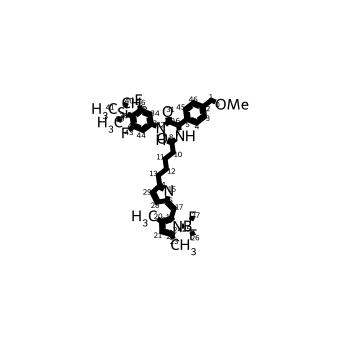 COCc1ccc(C(NC(=O)CCCCC2=NC(=Cc3c(C)cc(C)n3B(F)F)C=C2)C(=O)Nc2cc(F)c([Si](C)(C)C)c(F)c2)cc1